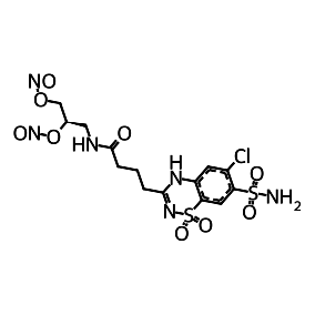 NS(=O)(=O)c1cc2c(cc1Cl)NC(CCCC(=O)NC[C@H](CON=O)ON=O)=NS2(=O)=O